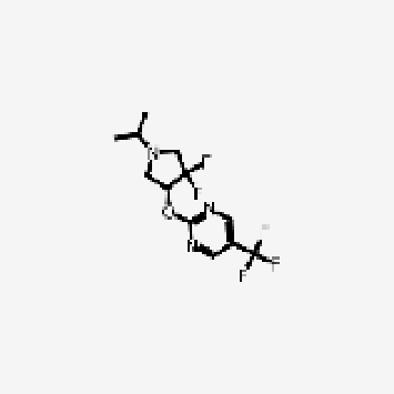 CC(C)N1C[C@H](Oc2ncc(C(F)(F)F)cn2)C(F)(F)C1